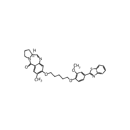 COc1cc(-c2nc3ccccc3s2)ccc1OCCCCCOc1cc2c(cc1C)C(=O)N1CCC[C@H]1C=N2